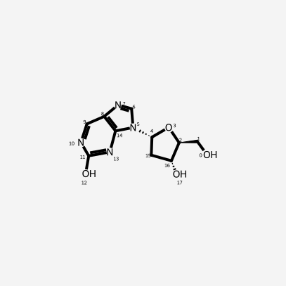 OC[C@@H]1O[C@@H](n2cnc3cnc(O)nc32)C[C@H]1O